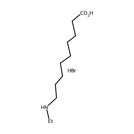 Br.CCNCCCCCCCCC(=O)O